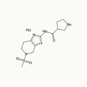 CS(=O)(=O)N1CCc2nc(NC(=O)C3CCNC3)sc2C1.Cl